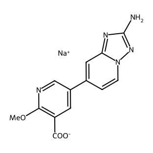 COc1ncc(-c2ccn3nc(N)nc3c2)cc1C(=O)[O-].[Na+]